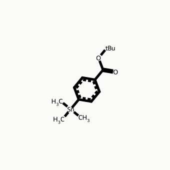 CC(C)(C)OC(=O)c1cc[c]([Sn]([CH3])([CH3])[CH3])cc1